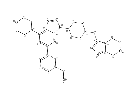 OCc1cccc(-c2nc(N3CCOCC3)c3ncn(C4CCN(Cc5cnc6n5CCOC6)CC4)c3n2)c1